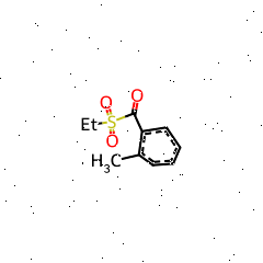 CCS(=O)(=O)C(=O)c1ccccc1C